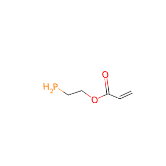 C=CC(=O)OCCP